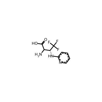 NC(C(=O)O)[C@@H](Nc1ccccn1)C(F)(F)F